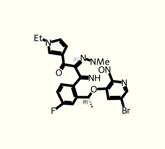 CCn1ccc(C(=O)/C(=N/NC)C(=N)c2ccc(F)cc2[C@@H](C)Oc2cc(Br)cnc2N=O)c1